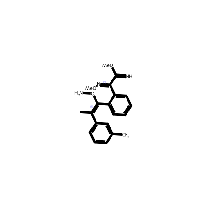 CO/N=C(/C(=N)OC)c1ccccc1/C(ON)=C(/C)c1cccc(C(F)(F)F)c1